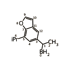 BC(C)c1cc(C(C)C)c2occc2c1